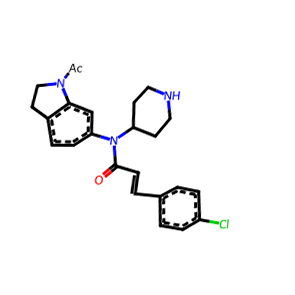 CC(=O)N1CCc2ccc(N(C(=O)C=Cc3ccc(Cl)cc3)C3CCNCC3)cc21